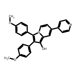 COc1ccc(-c2c(O)c3cc(-c4ccncc4)ccn3c2-c2ccc(OC)cc2)cc1